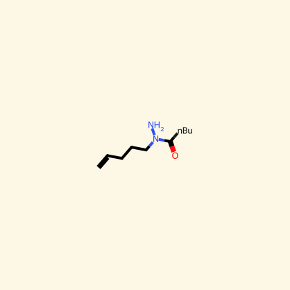 C=CCCCN(N)C(=O)CCCC